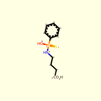 O=C(O)CCCNP(O)(=S)c1ccccc1